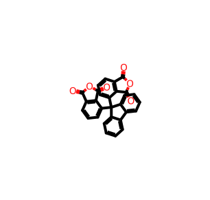 O=C1OC(=O)c2c1cccc2C1(c2cccc3c2C(=O)OC3=O)c2ccccc2-c2ccccc21